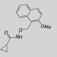 COc1ccc2ccccc2c1CONC(=O)C1CC1